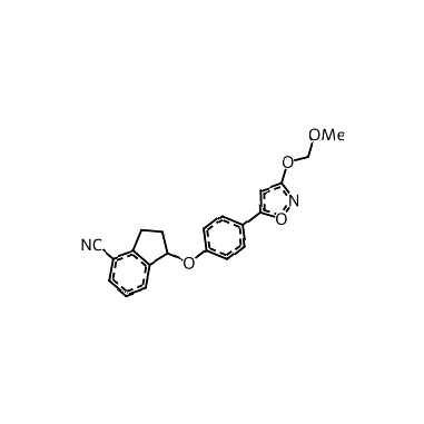 COCOc1cc(-c2ccc(OC3CCc4c(C#N)cccc43)cc2)on1